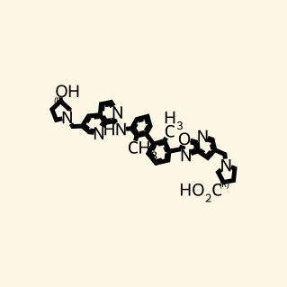 Cc1c(Nc2nccc3cc(CN4CC[C@@H](O)C4)cnc23)cccc1-c1cccc(-c2nc3cc(CN4CC[C@@H](C(=O)O)C4)cnc3o2)c1C